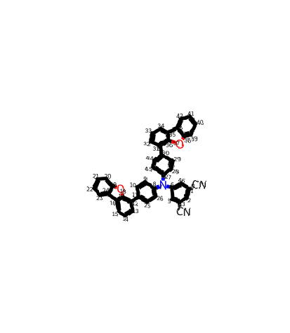 N#Cc1cc(C#N)cc(N(c2ccc(-c3cccc4c3oc3ccccc34)cc2)c2ccc(-c3cccc4c3oc3ccccc34)cc2)c1